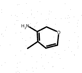 CC1=C(N)COC=C1